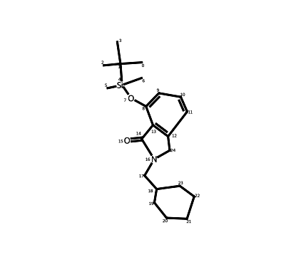 CC(C)(C)[Si](C)(C)Oc1cccc2c1C(=O)N(CC1CCCCC1)C2